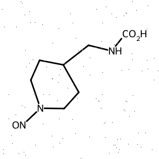 O=NN1CCC(CNC(=O)O)CC1